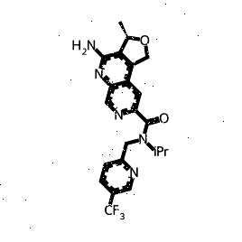 CC(C)N(Cc1ccc(C(F)(F)F)cn1)C(=O)c1cc2c3c(c(N)nc2cn1)[C@@H](C)OC3